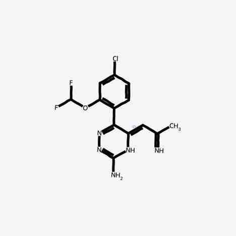 CC(=N)/C=C1\NC(N)=NN=C1c1ccc(Cl)cc1OC(F)F